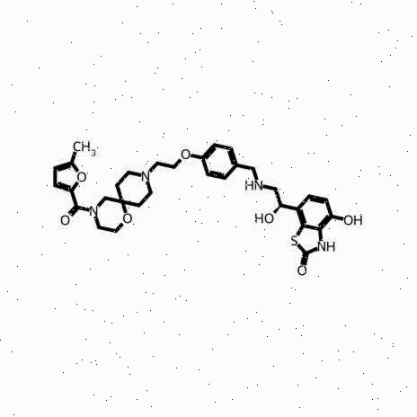 Cc1ccc(C(=O)N2CCOC3(CCN(CCOc4ccc(CNC[C@H](O)c5ccc(O)c6[nH]c(=O)sc56)cc4)CC3)C2)o1